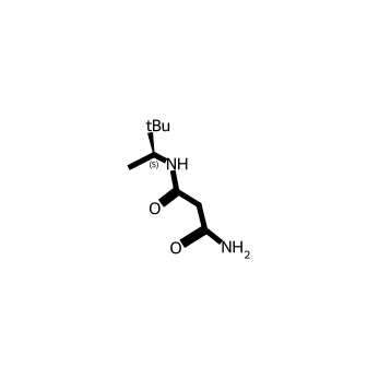 C[C@H](NC(=O)CC(N)=O)C(C)(C)C